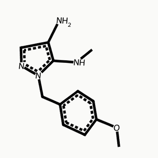 CNc1c(N)cnn1Cc1ccc(OC)cc1